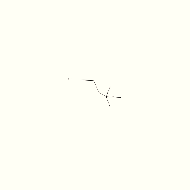 COCCC(C)(C(F)(F)F)C(F)(F)F